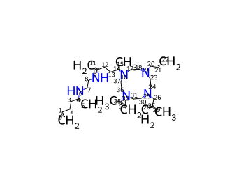 C=CCCC(=C)NCCNC(=C)CCC(C)N1CCN(CC=C)CCN(CC(=C)C)CCN(C(=C)C)CC1